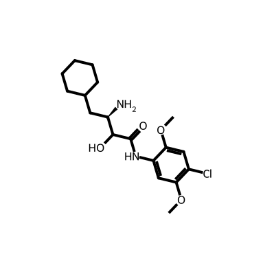 COc1cc(NC(=O)C(O)[C@H](N)CC2CCCCC2)c(OC)cc1Cl